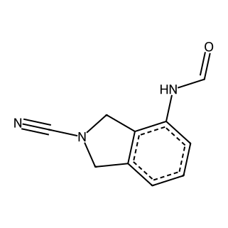 N#CN1Cc2cccc(NC=O)c2C1